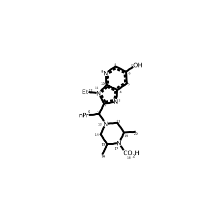 CCCC(c1nc2cc(O)cnc2n1CC)N1CC(C)N(C(=O)O)C(C)C1